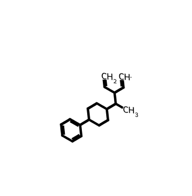 [CH]=CC(C=C)C(C)C1CCC(c2ccccc2)CC1